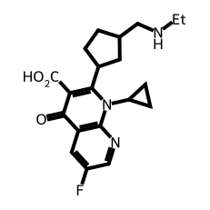 CCNCC1CCC(c2c(C(=O)O)c(=O)c3cc(F)cnc3n2C2CC2)C1